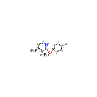 Cc1ccc(Oc2nccc(C(C)(C)C)c2C(C)(C)C)cc1